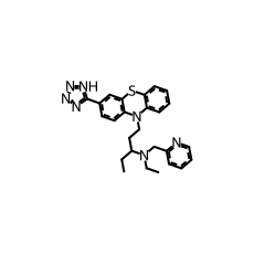 CCC(CCN1c2ccccc2Sc2cc(-c3nnn[nH]3)ccc21)N(CC)Cc1ccccn1